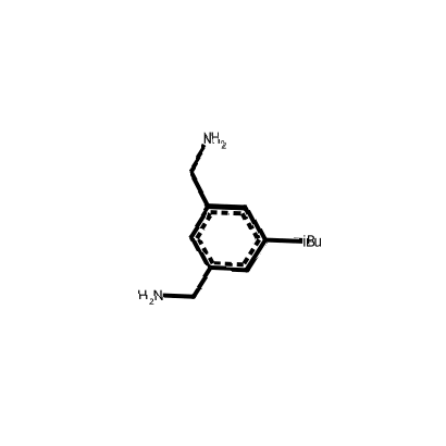 CCC(C)c1cc(CN)cc(CN)c1